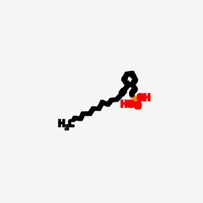 CCCCCCCCCCCC#Cc1ccccc1C=CP(=O)(O)O